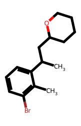 Cc1c(Br)cccc1C(C)CC1CCCCO1